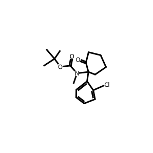 CN(C(=O)OC(C)(C)C)C1(c2ccccc2Cl)CCCCC1=O